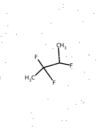 C[C](F)C(C)(F)F